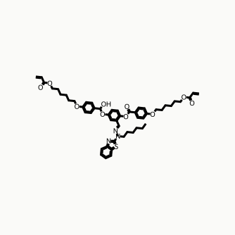 C=CC(=O)OCCCCCCOc1ccc(C(=O)Oc2ccc(OC(O)c3ccc(OCCCCCCOC(=O)C=C)cc3)cc2/C=N/N(CCCCCC)c2nc3ccccc3s2)cc1